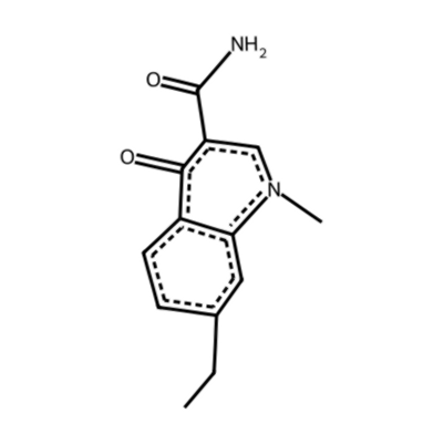 CCc1ccc2c(=O)c(C(N)=O)cn(C)c2c1